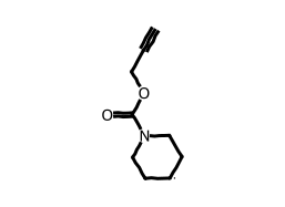 C#CCOC(=O)N1CC[CH]CC1